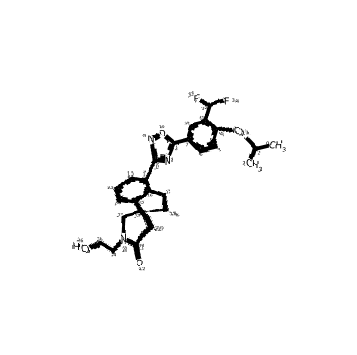 CC(C)Oc1ccc(-c2nc(-c3cccc4c3CC[C@]43CC(=O)N(CCO)C3)no2)cc1C(F)F